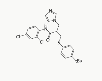 CC(C)(C)c1ccc(SCC(Cn2ccnc2)C(=O)Nc2ccc(Cl)cc2Cl)cc1